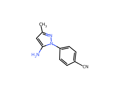 Cc1cc(N)n(-c2ccc(C#N)cc2)n1